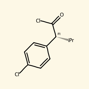 CC(C)[C@@H](C(=O)Cl)c1ccc(Cl)cc1